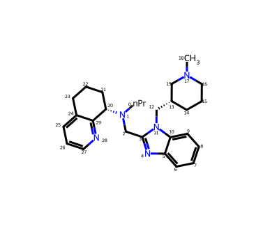 CCCN(Cc1nc2ccccc2n1C[C@H]1CCCN(C)C1)[C@H]1CCCc2cccnc21